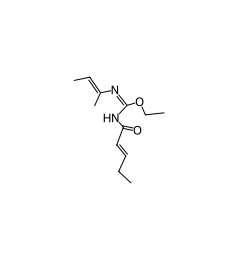 C/C=C(C)/N=C(\NC(=O)/C=C/CC)OCC